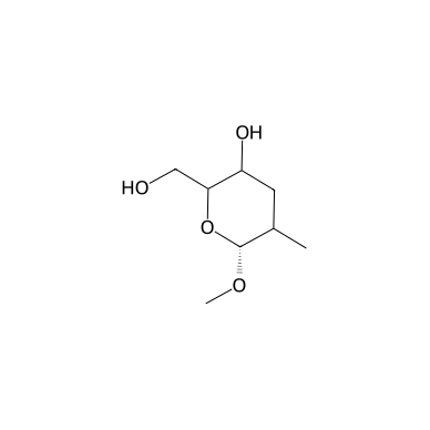 CO[C@@H]1OC(CO)C(O)CC1C